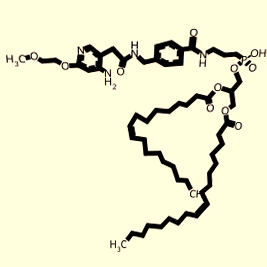 CCCCCCCC/C=C\CCCCCCCC(=O)OCC(CO[P@@](=O)(O)CCCNC(=O)c1ccc(CNC(=O)Cc2cnc(OCCOC)cc2N)cc1)OC(=O)CCCCCCC/C=C\CCCCCCCC